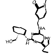 CCc1cnn2c(NCc3ccn(C)c(=O)c3)nc(N[C@H]3CCCC[C@H]3CO)nc12